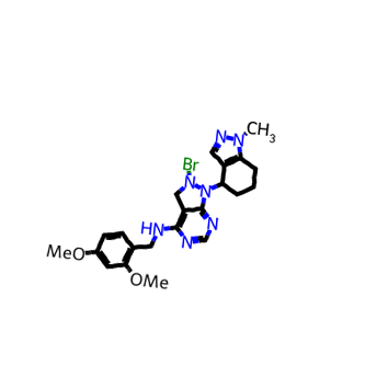 COc1ccc(CNc2ncnc3c2CN(Br)N3C2CCCc3c2cnn3C)c(OC)c1